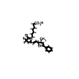 C[C@@H](CCc1ccccc1)[C@@H](O)C=C[C@H]1CC(F)(F)C(=O)N1CCCCCCC(=O)O